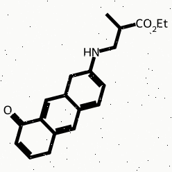 CCOC(=O)C(C)CNC1=CC=C2C=C3CC=CC(=O)C3=CC2C1